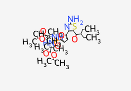 CCC(CC)C(=O)c1sc(N)nc1-c1ccc(P(=O)(NC(C)(C)C(=O)OC(C)C)NC(C)(C)C(=O)OC(C)C)o1